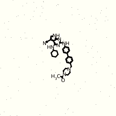 CC(=O)N1CCN(Cc2ccc(-c3ccc(Nc4nc(NC5CCCCC5)c5c(C#N)c[nH]c5n4)cc3)cc2)CC1